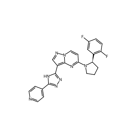 Fc1ccc(F)c([C@H]2CCCN2c2ccn3ncc(-c4nnc(-c5ccncc5)[nH]4)c3n2)c1